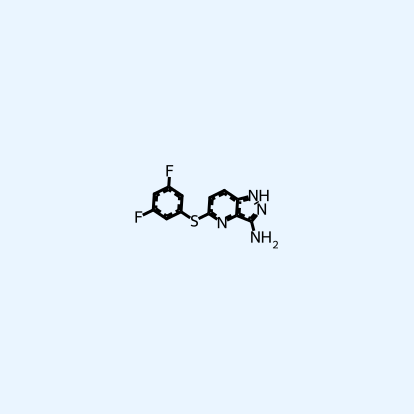 Nc1n[nH]c2ccc(Sc3cc(F)cc(F)c3)nc12